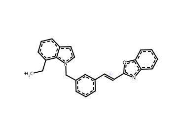 [CH2]Cc1cccc2ccn(Cc3cccc(/C=C/c4nc5ccccc5o4)c3)c12